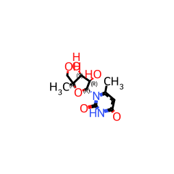 Cc1cc(=O)[nH]c(=O)n1[C@@H]1O[C@](C)(CO)[C@@H](O)[C@H]1O